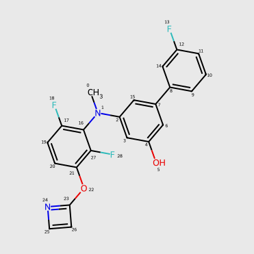 CN(c1cc(O)cc(-c2cccc(F)c2)c1)c1c(F)ccc(OC2=NC=C2)c1F